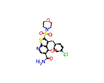 NC(=O)c1cnc2sc(S(=O)(=O)N3CCOCC3)c(Cc3ccc(Cl)cc3)c2c1O